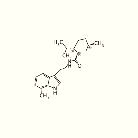 Cc1cccc2c(CCNC(=O)[C@@H]3C[C@H](C)CC[C@H]3C(C)C)c[nH]c12